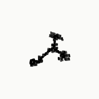 C[C@@H]1O[C@@H](OCCNC(=O)CN(CC(=O)NCCOCCOCCC(=O)NN[C@H](C=O)Cc2ccccc2)CC(=O)NCCO[C@@H]2O[C@@H](C)[C@@H](O)[C@@H](O)[C@@H]2O)[C@@H](O)[C@H](O)[C@@H]1O